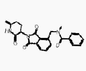 C=C1CCC(N2C(=O)c3cccc(CN(C)C(=O)c4ccccc4)c3C2=O)C(=O)N1